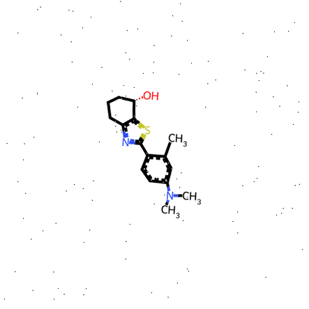 Cc1cc(N(C)C)ccc1-c1nc2c(s1)[C@@H](O)CCC2